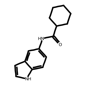 O=C(Nc1ccc2[nH]ccc2c1)C1CCCCC1